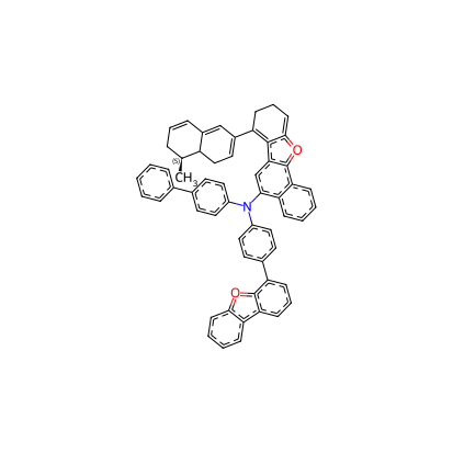 C[C@H]1CC=CC2=CC(C3=c4c(oc5c4cc(N(c4ccc(-c6ccccc6)cc4)c4ccc(-c6cccc7c6oc6ccccc67)cc4)c4ccccc45)=CCC3)=CCC21